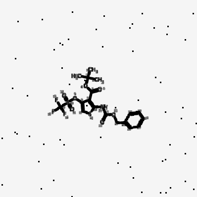 CC(C)(C)OC(=O)c1c(OS(=O)(=O)C(F)(F)F)csc1NC(=O)OCc1ccccc1